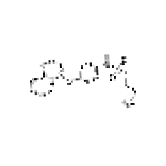 CCCCS(=O)(=O)Nc1ccc(Oc2cccc3ccccc23)cc1